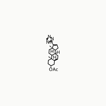 CC(=O)O[C@H]1CC[C@@]2(C)C(=CC[C@@H]3[C@@H]2CC[C@]2(C)C(n4ncnn4)=CC[C@@H]32)C1